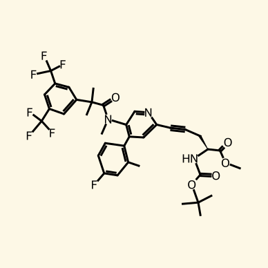 COC(=O)[C@H](CC#Cc1cc(-c2ccc(F)cc2C)c(N(C)C(=O)C(C)(C)c2cc(C(F)(F)F)cc(C(F)(F)F)c2)cn1)NC(=O)OC(C)(C)C